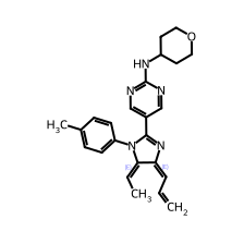 C=C/C=c1/nc(-c2cnc(NC3CCOCC3)nc2)n(-c2ccc(C)cc2)/c1=C/C